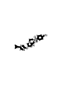 CC(C)c1ccc(S(=O)(=O)N2CCN3C[C@H](Oc4cnc(C5CC5)cn4)C[C@H]3C2)cc1